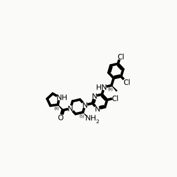 C[C@@H](Nc1nc(N2CCN(C(=O)[C@H]3CCCN3)C[C@H]2N)ncc1Cl)c1ccc(Cl)cc1Cl